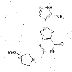 CO[C@@H]1CCN(Cc2nc3cc(-c4cn[nH]c4C)sc3c(=O)[nH]2)C1